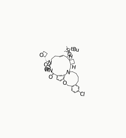 CC(C)(C)[Si](C)(C)OC1/C=C/CCN(C[C@H]2CCO2)S(=O)(=O)NC(=O)c2ccc3c(c2)N(CCCCc2cc(Cl)ccc2CO3)C[C@@H]2CC[C@@H]12